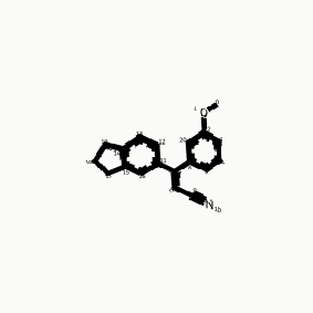 COc1cccc(C(=CC#N)c2ccc3c(c2)CCC3)c1